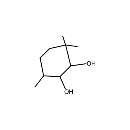 CC1CCC(C)(C)C(O)C1O